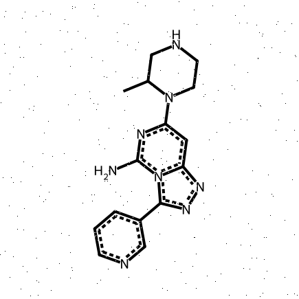 CC1CNCCN1c1cc2nnc(-c3cccnc3)n2c(N)n1